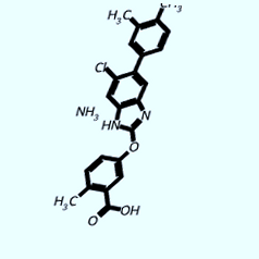 Cc1ccc(-c2cc3nc(Oc4ccc(C)c(C(=O)O)c4)[nH]c3cc2Cl)cc1C.N